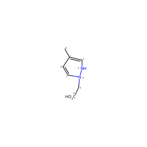 CC1=CNN(CC(=O)O)C=C1